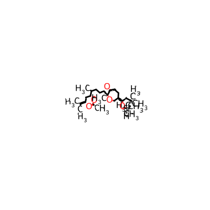 CC(=O)OC(CC=C(C)C)C(C)CCC[C@]1(C)OC/C(=C(/CC(C)(C)C)O[SiH](C)C)CCC1=O